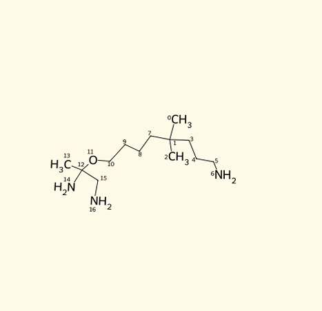 CC(C)(CCCN)CCCCOC(C)(N)CN